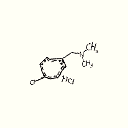 CN(C)Cc1ccc(Cl)cc1.Cl